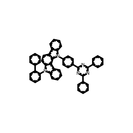 c1ccc(-c2nc(-c3ccccc3)nc(-c3ccc(-n4c5ccccc5c5ccc6c(c7ccccc7n6-c6ccccc6-c6ccccc6)c54)cc3)n2)cc1